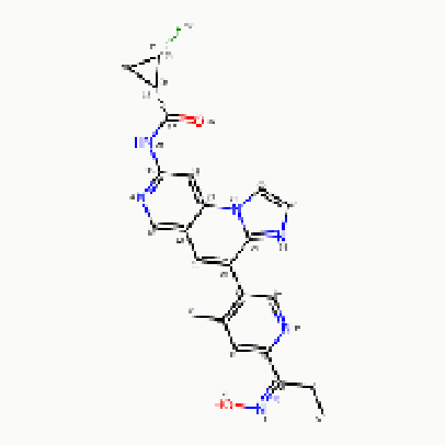 CC/C(=N/O)c1cc(C)c(-c2cc3cnc(NC(=O)[C@@H]4C[C@@H]4F)cc3n3ccnc23)cn1